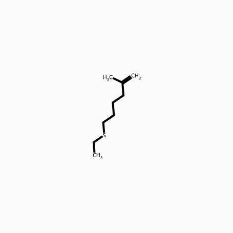 C=C(C)CCCCS[CH]C